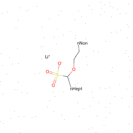 CCCCCCCCCCCOC(CCCCCCC)S(=O)(=O)[O-].[Li+]